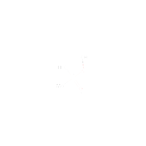 CO[P](C)(=O)[Mo]